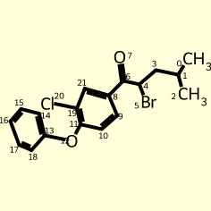 CC(C)CC(Br)C(=O)c1ccc(Oc2ccccc2)c(Cl)c1